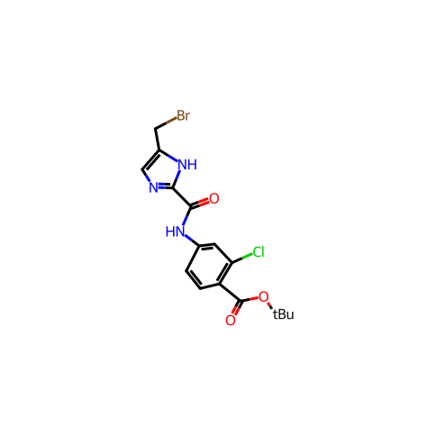 CC(C)(C)OC(=O)c1ccc(NC(=O)c2ncc(CBr)[nH]2)cc1Cl